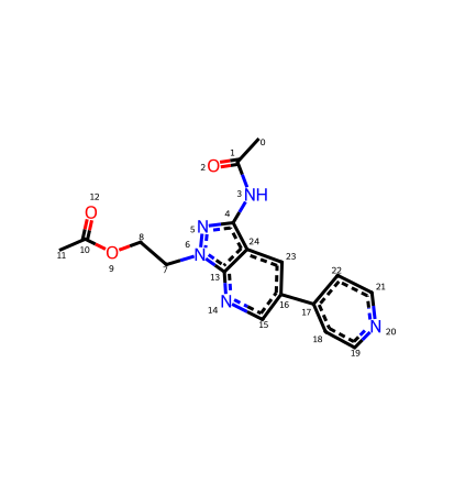 CC(=O)Nc1nn(CCOC(C)=O)c2ncc(-c3ccncc3)cc12